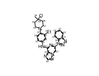 CCc1cc(Nc2nc(-n3nnc4ccccc43)cn3ncnc23)ccc1N1CCC(C)(Cl)CC1